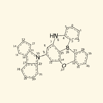 c1ccc2c(c1)Nc1cc(-n3c4ccccc4c4ccccc43)cc3c1B2c1ccccc1O3